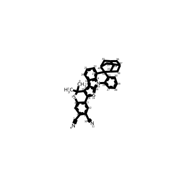 CC1(C)Sc2cc(C#N)c(C#N)cc2-c2sc3c(c21)c1cccc2c1n3-c1ccccc1C21C2CC3CC(C2)CC1C3